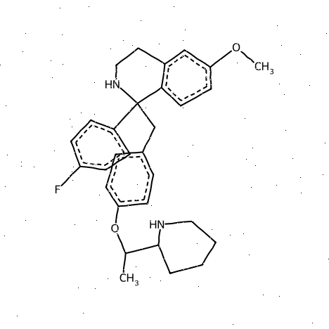 COc1ccc2c(c1)CCNC2(Cc1ccc(OC(C)C2CCCCN2)cc1)c1ccc(F)cc1